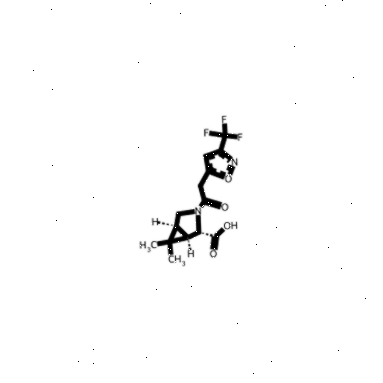 CC1(C)[C@@H]2[C@@H](C(=O)O)N(C(=O)Cc3cc(C(F)(F)F)no3)C[C@@H]21